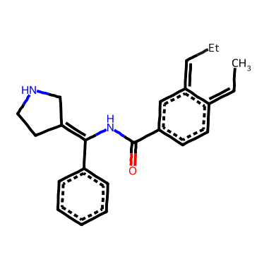 C/C=c1/ccc(C(=O)N/C(=C2/CCNC2)c2ccccc2)c/c1=C/CC